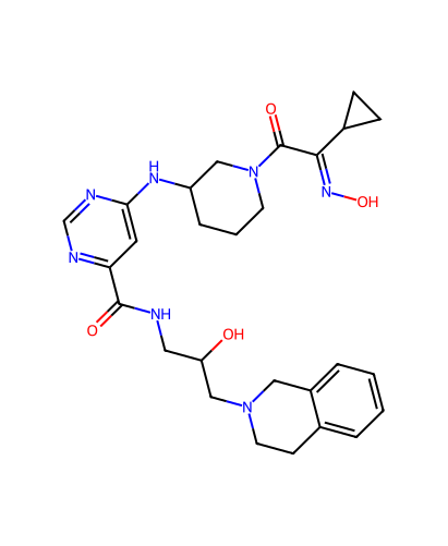 O=C(NCC(O)CN1CCc2ccccc2C1)c1cc(NC2CCCN(C(=O)C(=NO)C3CC3)C2)ncn1